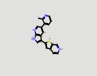 Cc1ncccc1-c1cnc2[nH]cc(-c3cc4ccncc4s3)c2c1